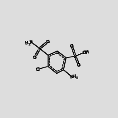 Nc1cc(Cl)c(S(N)(=O)=O)cc1S(=O)(=O)O